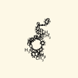 CC(C)c1ncccc1-c1c2c3cc(ccc3n1C)-c1cccc(c1)C[C@H](NC(=O)[C@H](C(C)C)N1CCC3(CCN(C(=O)C#CCN4CCOCC4)C3)C1=O)C(=O)N1CCC[C@H](N1)C(=O)OCC(C)(C)C2